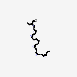 CC/C=C\C/C=C\C/C=C\C/C=C\C/C=C\C/C=C/C=C(/C=O)CC